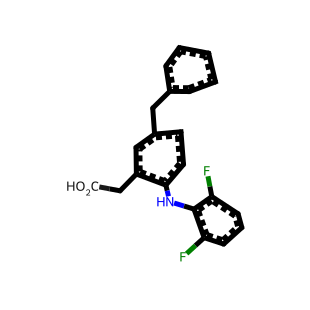 O=C(O)Cc1cc(Cc2ccccc2)ccc1Nc1c(F)cccc1F